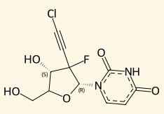 O=c1ccn([C@@H]2OC(CO)[C@H](O)C2(F)C#CCl)c(=O)[nH]1